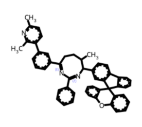 Cc1ccc(-c2cccc(/C3=N/C(c4ccccc4)=N\C(c4ccc5c(c4)C4(c6ccccc6Oc6ccccc64)c4ccccc4-5)C(C)CC3)c2)c(C)n1